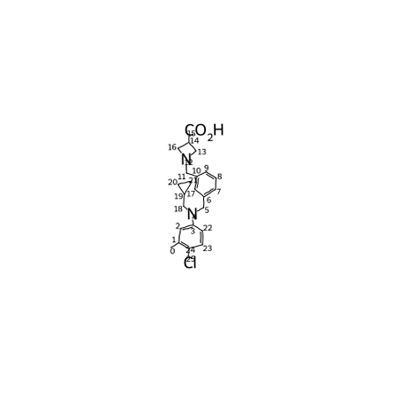 Cc1cc(N(Cc2cccc(CN3CC(C(=O)O)C3)c2)CC2CC2)ccc1Cl